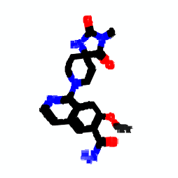 CC(C)Oc1cc2c(N3CCC4(CC3)NC(=O)N(C)C4=O)nccc2cc1C(N)=O